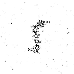 CC(C)(O)Cc1cnn(-c2ccc(-c3ccc(-c4cc5nc(O[C@@H]6CO[C@H]7[C@@H]6OC[C@H]7O)[nH]c5cn4)cc3)cc2)c1